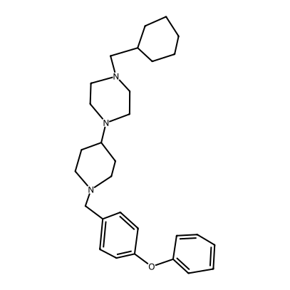 c1ccc(Oc2ccc(CN3CCC(N4CCN(CC5CCCCC5)CC4)CC3)cc2)cc1